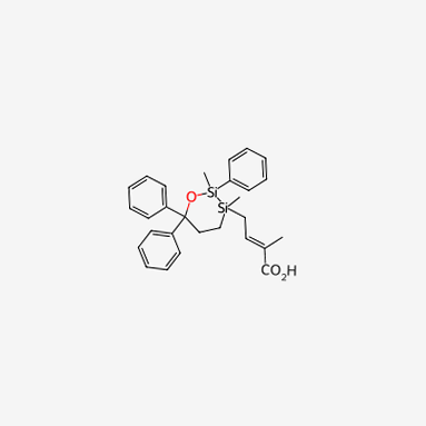 CC(=CC[Si]1(C)CCC(c2ccccc2)(c2ccccc2)O[Si]1(C)c1ccccc1)C(=O)O